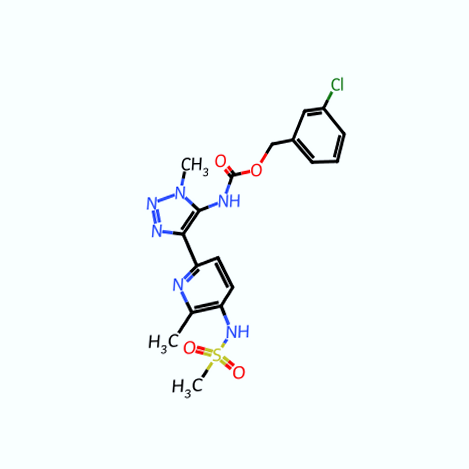 Cc1nc(-c2nnn(C)c2NC(=O)OCc2cccc(Cl)c2)ccc1NS(C)(=O)=O